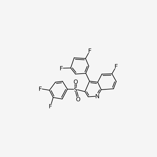 O=S(=O)(c1ccc(F)c(F)c1)c1cnc2ccc(F)cc2c1-c1cc(F)cc(F)c1